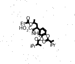 CCC(=O)OC(C)CC(c1ccc(OC(=O)C(C)C(C)C)c(OC(=O)C(C)C(C)C)c1)[C@H](N)C(=O)O